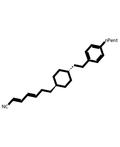 CCCCCc1ccc(CC[C@H]2CC[C@H](CC/C=C/C=C/C#N)CC2)cc1